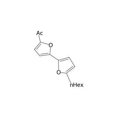 CCCCCCc1ccc(-c2ccc(C(C)=O)o2)o1